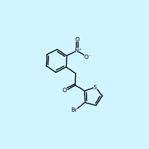 O=C(Cc1ccccc1[N+](=O)[O-])c1sccc1Br